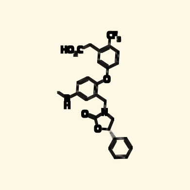 CBc1ccc(Oc2ccc(C(F)(F)F)c(CC(=O)O)c2)c(CN2C[C@H](c3ccccc3)OC2=O)c1